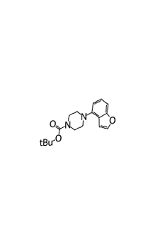 CC(C)(C)OC(=O)N1CCN(c2cccc3occc23)CC1